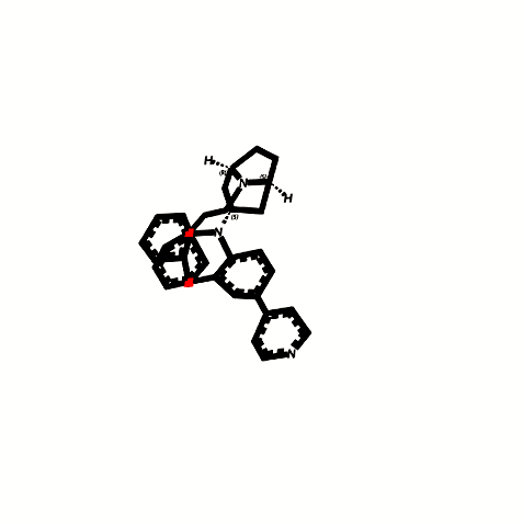 c1ccc(CCN2[C@@H]3CC[C@H]2C[C@H](N2c4ccccc4Oc4cc(-c5ccncc5)ccc42)C3)cc1